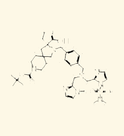 CC[C@]1(C(=O)O)CC2(CCN(C(=O)OC(C)(C)C)CC2)CN1Cc1ccc(CN(Cc2nccn2C)Cc2nccn2S(=O)(=O)N(C)C)cc1